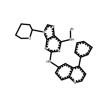 CC(C)Nc1nc(Nc2ccc3nccc(-c4ccccc4)c3c2)nc2c1ncn2C1CCCCO1